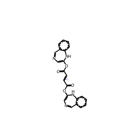 O=C(/C=C/C(=O)OC1=CN=Cc2ccccc2N1)OC1=CN=Cc2ccccc2N1